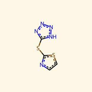 c1csc(Sc2nnn[nH]2)n1